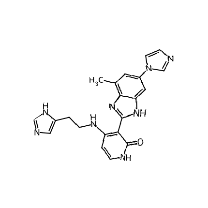 Cc1cc(-n2ccnc2)cc2[nH]c(-c3c(NCCc4cnc[nH]4)cc[nH]c3=O)nc12